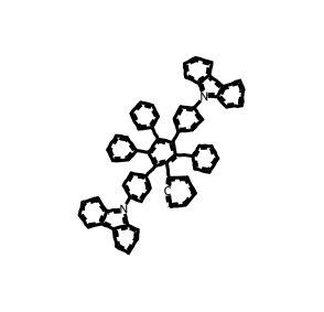 c1ccc(-c2c(-c3ccccc3)c(-c3ccc(-n4c5ccccc5c5ccccc54)cc3)c(-c3ccccc3)c(-c3ccccc3)c2-c2ccc(-n3c4ccccc4c4ccccc43)cc2)cc1